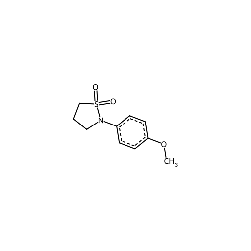 COc1ccc(N2CCCS2(=O)=O)cc1